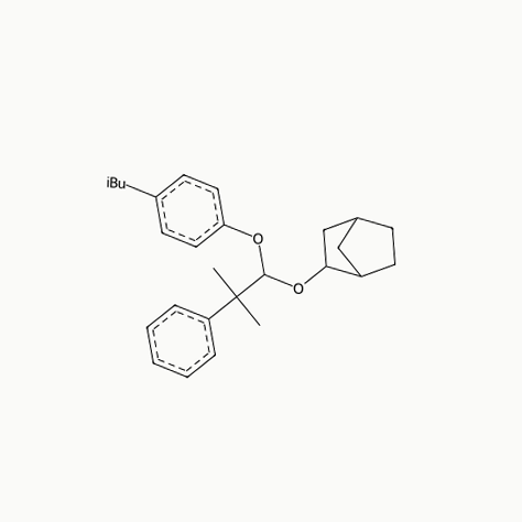 CCC(C)c1ccc(OC(OC2CC3CCC2C3)C(C)(C)c2ccccc2)cc1